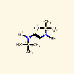 CC(C)(C)N(/C=C/N(C(C)(C)C)[Si](C)(C)C)[Si](C)(C)C